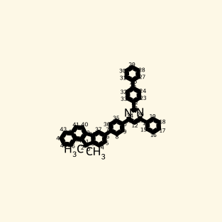 CC1(C)c2ccc(-c3ccc(-c4cc(-c5ccccc5)nc(-c5ccc(-c6ccccc6)cc5)n4)cc3)cc2-c2ccc3ccccc3c21